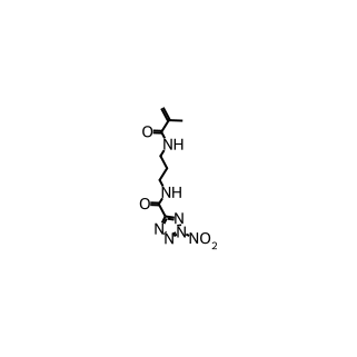 C=C(C)C(=O)NCCCNC(=O)c1nnn([N+](=O)[O-])n1